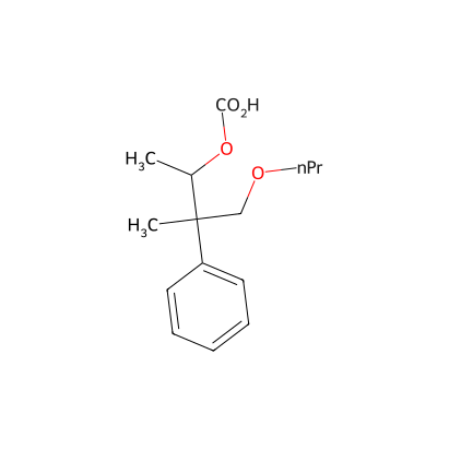 CCCOCC(C)(c1ccccc1)C(C)OC(=O)O